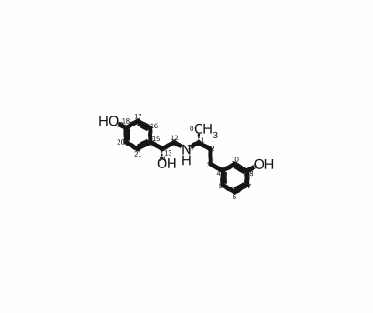 C[C@H](CCc1cccc(O)c1)NC[C@H](O)c1ccc(O)cc1